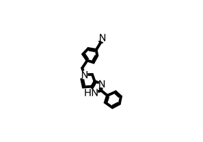 N#Cc1ccc(CN2C=Cc3[nH]c(-c4ccccc4)nc3C2)cc1